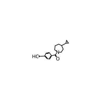 C#Cc1ccc(C(=O)N2CCCC(C3CC3)CC2)cc1